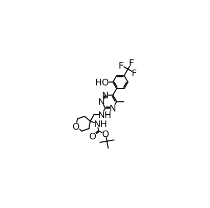 Cc1nc(NCC2(NC(=O)OC(C)(C)C)CCOCC2)nnc1-c1ccc(C(F)(F)F)cc1O